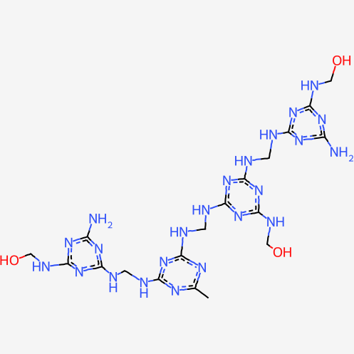 Cc1nc(NCNc2nc(N)nc(NCO)n2)nc(NCNc2nc(NCO)nc(NCNc3nc(N)nc(NCO)n3)n2)n1